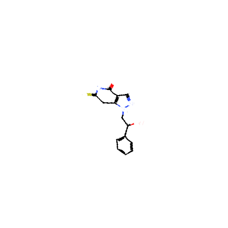 O=C1NC(=S)Cc2c1cnn2CC(O)c1ccccc1